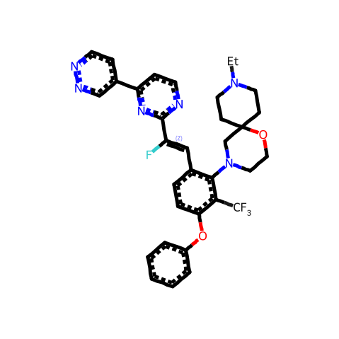 CCN1CCC2(CC1)CN(c1c(/C=C(\F)c3nccc(-c4ccnnc4)n3)ccc(Oc3ccccc3)c1C(F)(F)F)CCO2